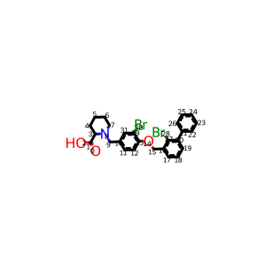 O=C(O)C1CCCCN1Cc1ccc(OCc2cccc(-c3ccccc3)c2Br)c(Br)c1